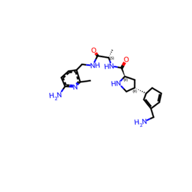 Cc1nc(N)ccc1CNC(=O)[C@H](C)NC(=O)[C@H]1C[C@H](C2C=C(CN)C=CC2)CN1